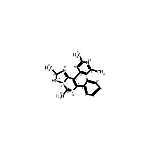 Cc1cc(C2=C(c3ccccc3)N=C(N)N3NC(C)N=C23)cc(C)n1